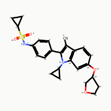 N#Cc1c(-c2ccc(NS(=O)(=O)C3CC3)cc2)n(C2CC2)c2cc(OC3CCOC3)ccc12